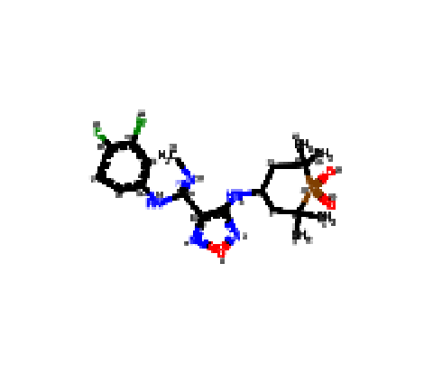 BC1(B)CC(Nc2nonc2/C(=N/C)Nc2ccc(F)c(Br)c2)CC(B)(B)S1(=O)=O